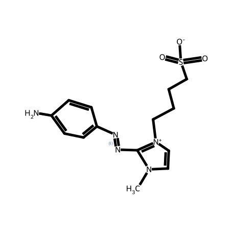 Cn1cc[n+](CCCCS(=O)(=O)[O-])c1/N=N/c1ccc(N)cc1